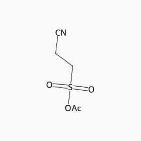 CC(=O)OS(=O)(=O)CCC#N